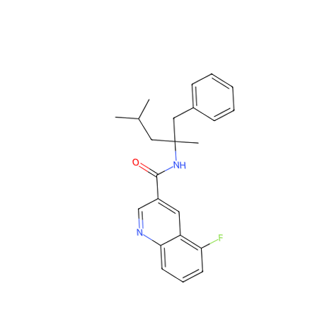 CC(C)CC(C)(Cc1ccccc1)NC(=O)c1cnc2cccc(F)c2c1